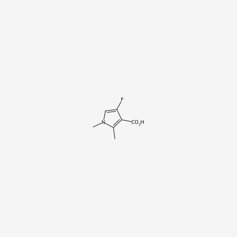 Cc1c(C(=O)O)c(F)cn1C